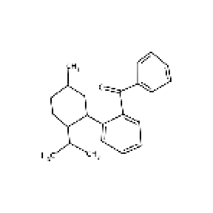 CC1CCC(C(C)C)C(c2ccccc2C(=O)c2ccccc2)C1